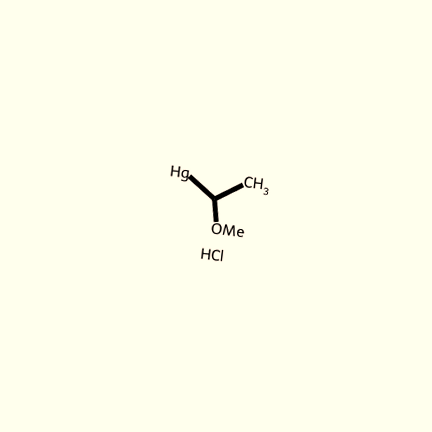 CO[CH](C)[Hg].Cl